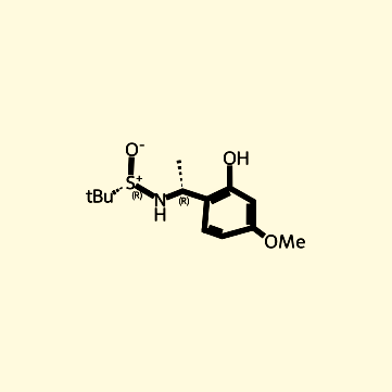 COc1ccc([C@@H](C)N[S@@+]([O-])C(C)(C)C)c(O)c1